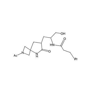 CC(=O)N1CC2(CC(CC(CO)NC(=O)CCC(C)C)C(=O)N2)C1